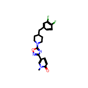 Cn1cc(-c2noc(N3CCC(Cc4ccc(F)c(F)c4)CC3)n2)ccc1=O